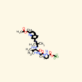 CC(=O)O[C@H](C)c1ccc2ccc(/C=C/C(C)(C)CN[C@H](C(=O)N[C@@H](C)C(=O)N3CCC[C@@H](C(=O)OCC(Cl)(Cl)Cl)N3)C(C)C)cc2n1